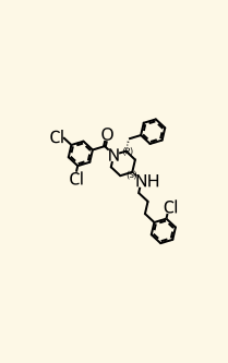 O=C(c1cc(Cl)cc(Cl)c1)N1CC[C@H](NCCCc2ccccc2Cl)C[C@H]1Cc1ccccc1